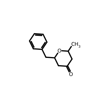 CC1CC(=O)CC(Cc2ccccc2)O1